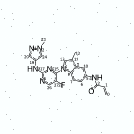 C=CC(=O)Nc1ccc2c(c1)c(C)cn2-c1nc(Nc2cnn(C)c2)ncc1F